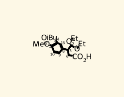 CCOC(OCC)C(CC(=O)O)c1ccc(OC)c(OCC(C)C)c1